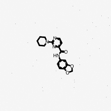 O=C(Nc1ccc2c(c1)OCO2)c1ccnc(N2CCCCC2)n1